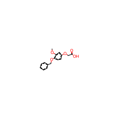 COc1cc(OCC(=O)O)ccc1OCc1ccccc1